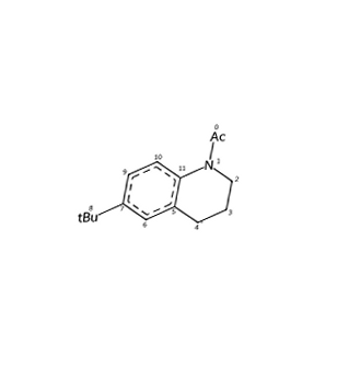 CC(=O)N1CC[CH]c2cc(C(C)(C)C)ccc21